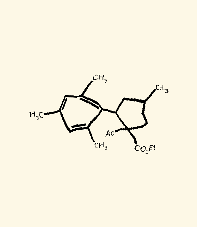 CCOC(=O)C1(C(C)=O)CC(C)CC1c1c(C)cc(C)cc1C